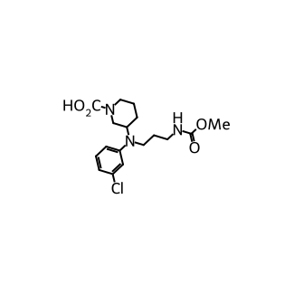 COC(=O)NCCCN(c1cccc(Cl)c1)C1CCCN(C(=O)O)C1